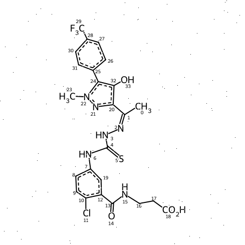 CC(=NNC(=S)Nc1ccc(Cl)c(C(=O)NCCC(=O)O)c1)c1nn(C)c(-c2ccc(C(F)(F)F)cc2)c1O